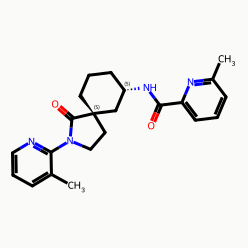 Cc1cccc(C(=O)N[C@H]2CCC[C@]3(CCN(c4ncccc4C)C3=O)C2)n1